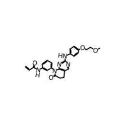 C=CC(=O)Nc1cccc(N2C(=O)CCc3cnc(Nc4ccc(OCCOC)cc4)nc32)c1